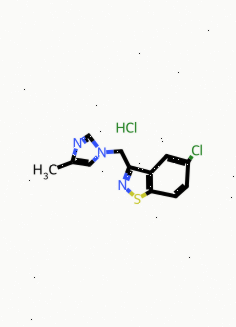 Cc1cn(Cc2nsc3ccc(Cl)cc23)cn1.Cl